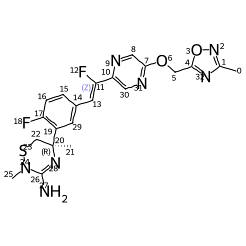 Cc1noc(COc2cnc(/C(F)=C/c3ccc(F)c([C@]4(C)CSN(C)C(N)=N4)c3)cn2)n1